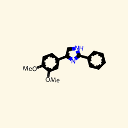 COc1ccc(-c2c[nH]c(-c3ccccc3)n2)cc1OC